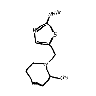 CC(=O)Nc1ncc(CN2CCCCC2C)s1